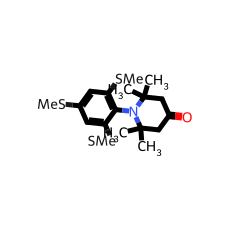 CSc1cc(SC)c(N2C(C)(C)CC(=O)CC2(C)C)c(SC)c1